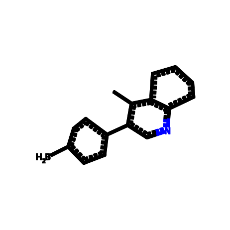 Bc1ccc(-c2cnc3ccccc3c2C)cc1